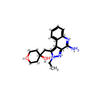 CCn1nc2c(N)nc3ccccc3c2c1CC1(O)CCOCC1